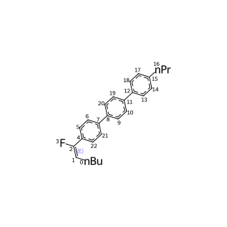 CCCC/C=C(/F)c1ccc(-c2ccc(-c3ccc(CCC)cc3)cc2)cc1